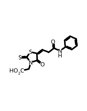 O=C(O)CN1C(=O)C(=CCC(=O)Nc2ccccc2)SC1=S